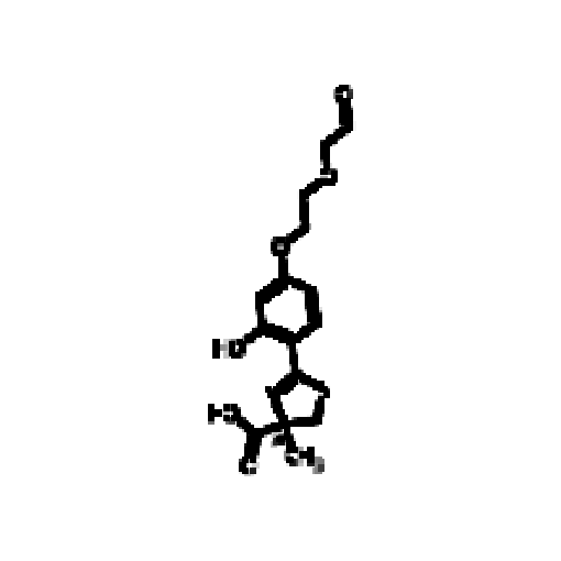 C[C@]1(C(=O)O)CSC(c2ccc(OCCOCC=O)cc2O)=N1